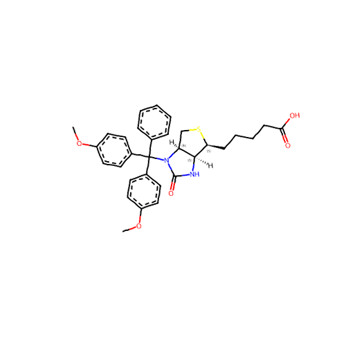 COc1ccc(C(c2ccccc2)(c2ccc(OC)cc2)N2C(=O)N[C@@H]3[C@H](CCCCC(=O)O)SC[C@@H]32)cc1